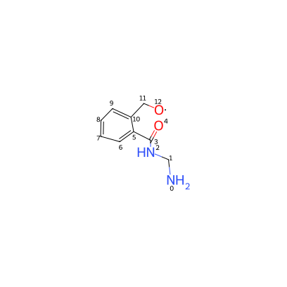 NCNC(=O)c1ccccc1C[O]